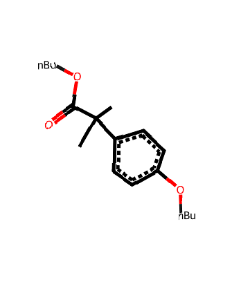 CCCCOC(=O)C(C)(C)c1ccc(OCCCC)cc1